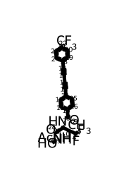 CC(=O)NC(C)(C(F)F)C(NC(=O)c1ccc(C#CC#Cc2ccc(C(F)(F)F)cc2)cc1)C(=O)NO